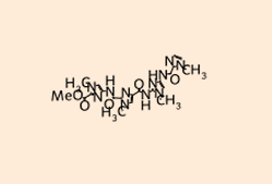 COC(=O)c1nc(NC(=O)c2nc(C(=O)Nc3nc(NC(=O)c4nccn4C)cn3C)cn2C)cn1C